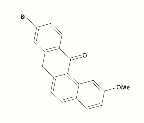 COc1ccc2ccc3c(c2c1)C(=O)c1ccc(Br)cc1C3